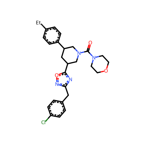 CCc1ccc(C2CC(c3nc(Cc4ccc(Cl)cc4)no3)CN(C(=O)N3CCOCC3)C2)cc1